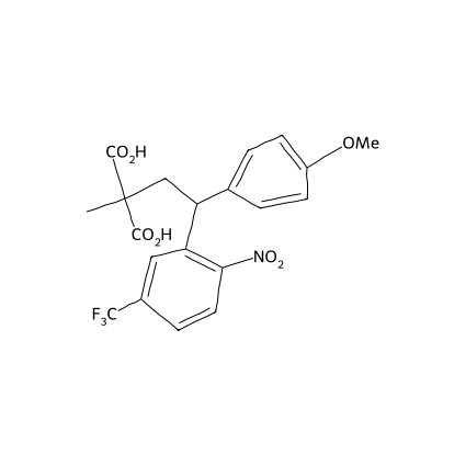 COc1ccc(C(CC(C)(C(=O)O)C(=O)O)c2cc(C(F)(F)F)ccc2[N+](=O)[O-])cc1